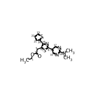 CCOC(=O)Cc1sc(-c2cnc(N(C)C)nc2)nc1-c1cccs1